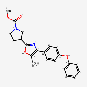 CC(C)(C)OC(=O)N1CCC(c2nc(-c3ccc(Oc4ccccc4)cc3)c(C(=O)O)o2)C1